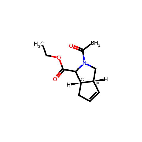 BC(=O)N1C[C@@H]2C=CC[C@@H]2C1C(=O)OCC